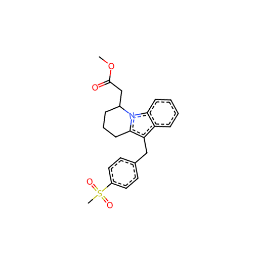 COC(=O)CC1CCCc2c(Cc3ccc(S(C)(=O)=O)cc3)c3ccccc3n21